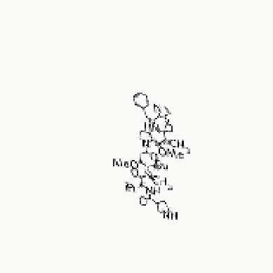 CC[C@H](C)C([C@@H](CC(=O)N1CCC[C@H]1[C@H](OC)[C@@H](C)C(=O)N[C@@H](Cc1ccccc1)c1nccs1)OC)N(C)C(=O)[C@@H](NC(=O)C1CCNC1)C(C)C